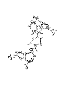 CC(C)Oc1cc(OCC2CCC(/C=C/c3c(-c4ccccc4C(F)(F)F)noc3C3CC3)CC2)cnc1C#N